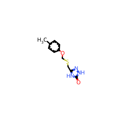 Cc1ccc(OCSCc2n[nH]c(=O)[nH]2)cc1